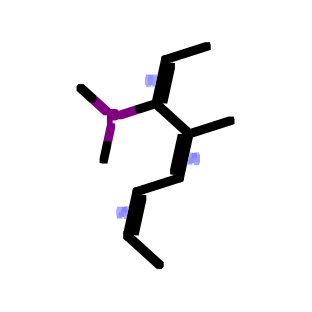 C\C=C/C=C(C)\C(=C/C)P(C)C